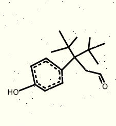 CC(C)(C)C(CC=O)(c1ccc(O)cc1)C(C)(C)C